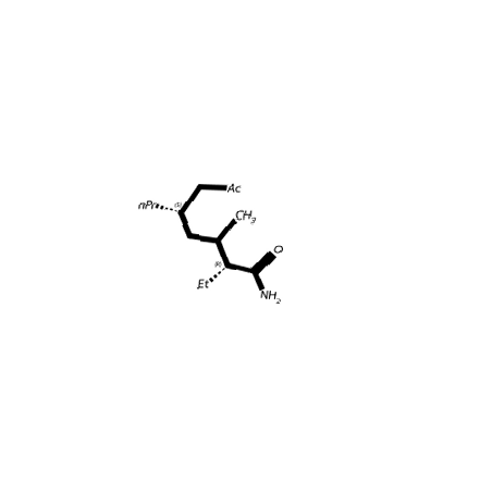 CCC[C@H](CC(C)=O)CC(C)[C@@H](CC)C(N)=O